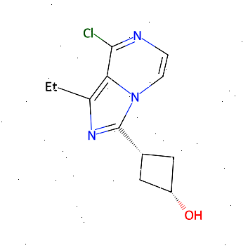 CCc1nc([C@H]2C[C@@H](O)C2)n2ccnc(Cl)c12